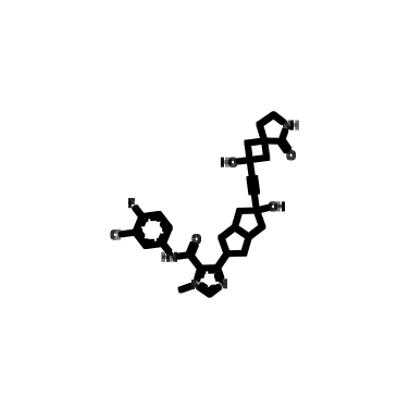 Cn1cnc(C2CC3CC(O)(C#CC4(O)CC5(CCNC5=O)C4)CC3C2)c1C(=O)Nc1ccc(F)c(Cl)c1